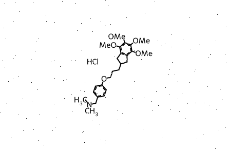 COc1c2c(c(OC)c(OC)c1OC)CC(CCCOc1ccc(CN(C)C)cc1)C2.Cl